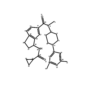 Cc1cc(N2CCC(N(C)C(=O)c3ccc4c(c3)C(NC(=O)C3CC3)CC4)CC2)cc(C)n1